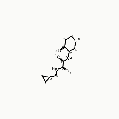 O=C(NCC1CC1)C(=O)NC1COCCC1=O